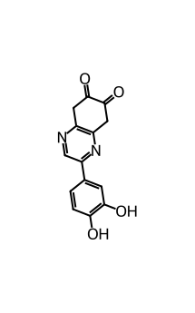 O=C1Cc2ncc(-c3ccc(O)c(O)c3)nc2CC1=O